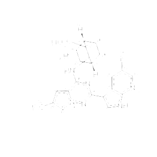 O=C(O)[C@@H]1C(Nc2nc(-c3c[nH]c4ncc(F)cc34)nn3cc(C(F)(F)F)cc23)[C@H]2CC[C@@H]1CC2